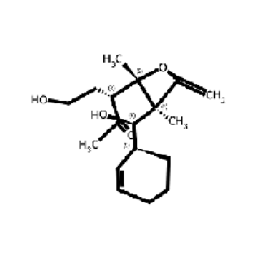 C=C1O[C@@](C)([C@@H](CCO)C(C)=O)[C@]1(C)[C@H](O)[C@@H]1C=CCCC1